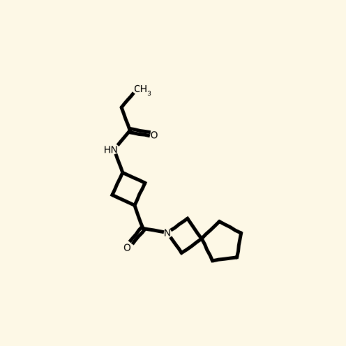 CCC(=O)NC1CC(C(=O)N2CC3(CCCC3)C2)C1